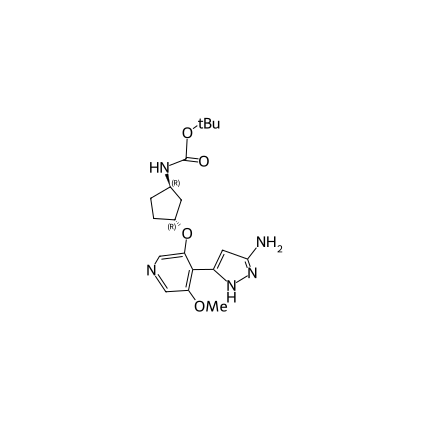 COc1cncc(O[C@@H]2CC[C@@H](NC(=O)OC(C)(C)C)C2)c1-c1cc(N)n[nH]1